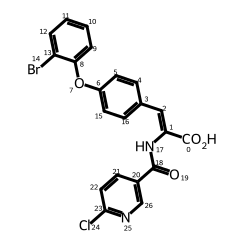 O=C(O)C(=Cc1ccc(Oc2ccccc2Br)cc1)NC(=O)c1ccc(Cl)nc1